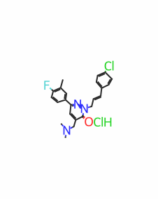 Cc1cc(-c2cc(CN(C)C)c(=O)n(CC=Cc3ccc(Cl)cc3)n2)ccc1F.Cl